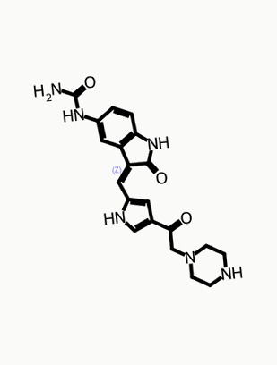 NC(=O)Nc1ccc2c(c1)/C(=C/c1cc(C(=O)CN3CCNCC3)c[nH]1)C(=O)N2